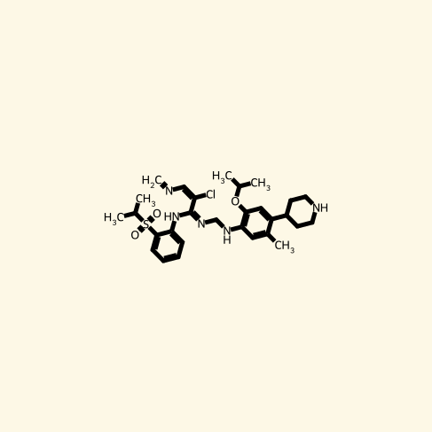 C=N/C=C(Cl)\C(=N/CNc1cc(C)c(C2CCNCC2)cc1OC(C)C)Nc1ccccc1S(=O)(=O)C(C)C